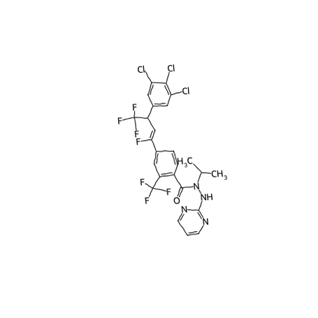 CC(C)N(Nc1ncccn1)C(=O)c1ccc(/C(F)=C/C(c2cc(Cl)c(Cl)c(Cl)c2)C(F)(F)F)cc1C(F)(F)F